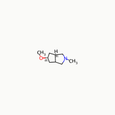 CO[C@@H]1CC2CN(C)C[C@@H]2C1